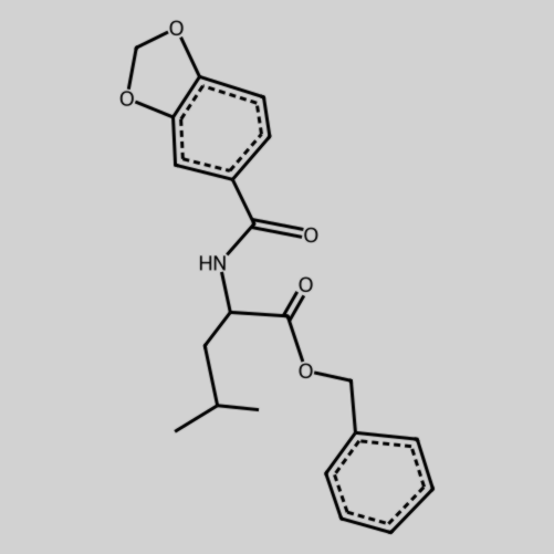 CC(C)CC(NC(=O)c1ccc2c(c1)OCO2)C(=O)OCc1ccccc1